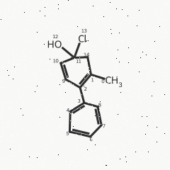 CC1=C(c2ccccc2)C=CC(O)(Cl)C1